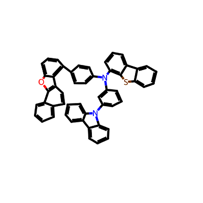 c1cc(N(c2ccc(-c3cccc4oc5c6ccccc6ccc5c34)cc2)c2cccc3c2sc2ccccc23)cc(-n2c3ccccc3c3ccccc32)c1